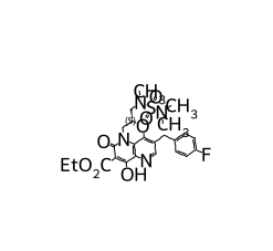 CCOC(=O)c1c(O)c2ncc(Cc3ccc(F)cc3)c3c2n(c1=O)C[C@@H](CN(C)S(=O)(=O)N(C)C)O3